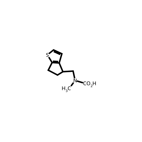 CN(CC1CCc2sccc21)C(=O)O